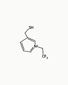 FC(F)(F)C[n+]1cccc(CS)c1